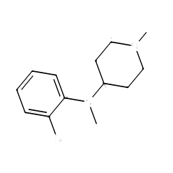 CN(c1ccccc1Br)C1CCN(Cl)CC1